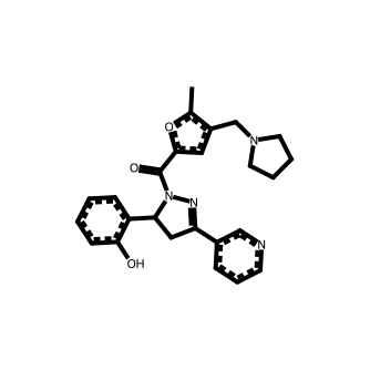 Cc1oc(C(=O)N2N=C(c3cccnc3)CC2c2ccccc2O)cc1CN1CCCC1